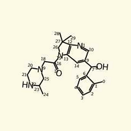 Cc1ccccc1C(O)c1cnc2c(c1)N(C(=O)CN1CCNC(C)C1)CC2(C)C